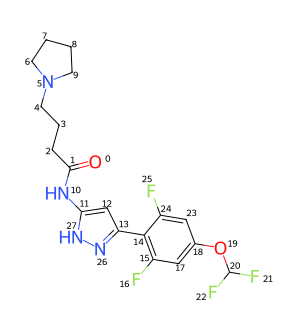 O=C(CCCN1CCCC1)Nc1cc(-c2c(F)cc(OC(F)F)cc2F)n[nH]1